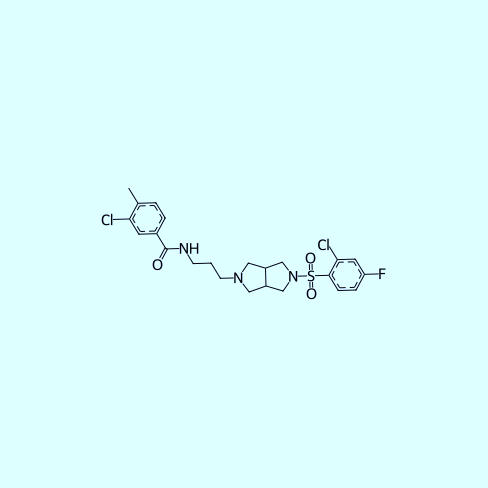 Cc1ccc(C(=O)NCCCN2CC3CN(S(=O)(=O)c4ccc(F)cc4Cl)CC3C2)cc1Cl